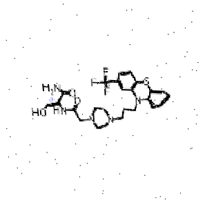 NC(=O)/C(=C/O)NC(=O)CN1CCN(CCCN2c3ccccc3Sc3ccc(C(F)(F)F)cc32)CC1